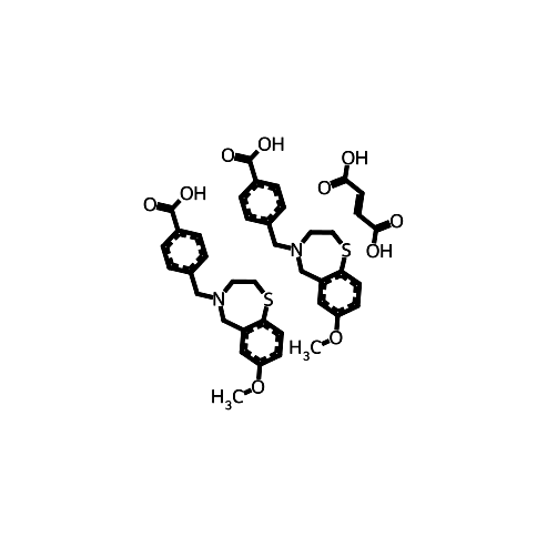 COc1ccc2c(c1)CN(Cc1ccc(C(=O)O)cc1)CCS2.COc1ccc2c(c1)CN(Cc1ccc(C(=O)O)cc1)CCS2.O=C(O)/C=C/C(=O)O